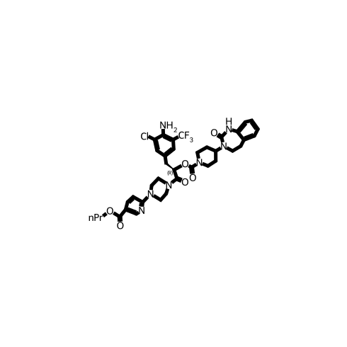 CCCOC(=O)c1ccc(N2CCN(C(=O)[C@@H](Cc3cc(Cl)c(N)c(C(F)(F)F)c3)OC(=O)N3CCC(N4CCc5ccccc5NC4=O)CC3)CC2)nc1